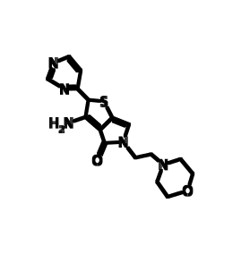 NC1=C2C(=O)N(CCN3CCOCC3)C=C2SC1c1ccncn1